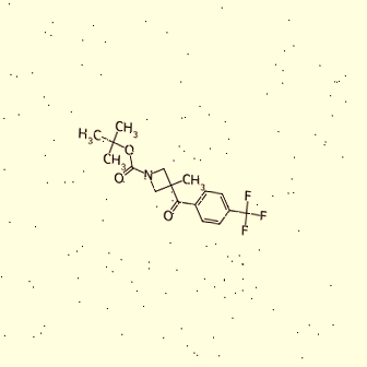 CC(C)(C)OC(=O)N1CC(C)(C(=O)c2ccc(C(F)(F)F)cc2)C1